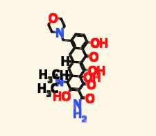 CN(C)[C@@H]1C(O)=C(C(N)=O)C(=O)[C@@]2(O)C(O)=C3C(=O)c4c(O)ccc(CN5CCOCC5)c4C[C@H]3C[C@@H]12